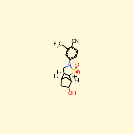 N#Cc1ccc(N2C[C@@H]3[C@H]4C[C@@H]([C@@H]3S2(=O)=O)[C@@H](O)C4)cc1C(F)(F)F